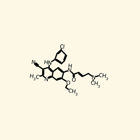 CCOc1cc2nc(C)c(C#N)c(Nc3cccc(Cl)c3)c2cc1NC(=O)/C=C/CN(C)C